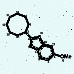 COc1ccc2cc(C3CCCCCCC3)sc2c1